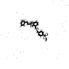 CCOC(=O)c1ccc(COCc2cccc3[nH]c(CCc4ccccc4)nc23)cc1